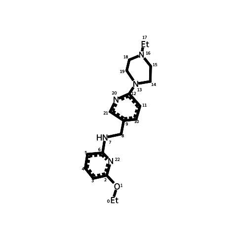 CCOc1cccc(NCc2ccc(N3CCN(CC)CC3)nc2)n1